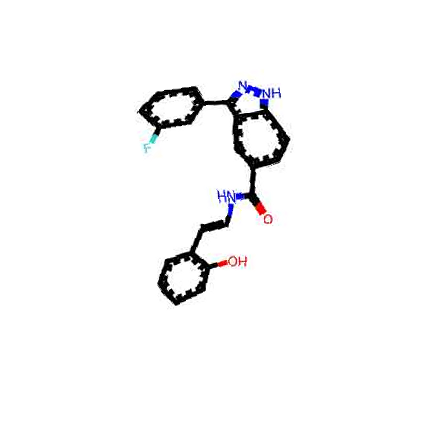 O=C(NC=Cc1ccccc1O)c1ccc2[nH]nc(-c3cccc(F)c3)c2c1